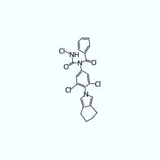 O=C(NCl)N(C(=O)c1ccccc1)c1cc(Cl)c(-n2cc3c(c2)CCCC3)c(Cl)c1